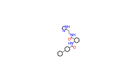 O=C(Nc1ccccc1C(=O)NCCc1ncc[nH]1)c1ccc(-c2ccccc2)cc1